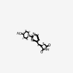 O=C1NC(=O)/C(=C/c2ccnc(N3CCC(O)CC3)n2)S1